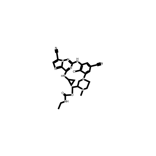 CCNC(=O)OCC1CN(c2cc(C#N)cc(Nc3nc(NC4CC4)c4ncc(C#N)n4n3)c2Cl)CCN1C